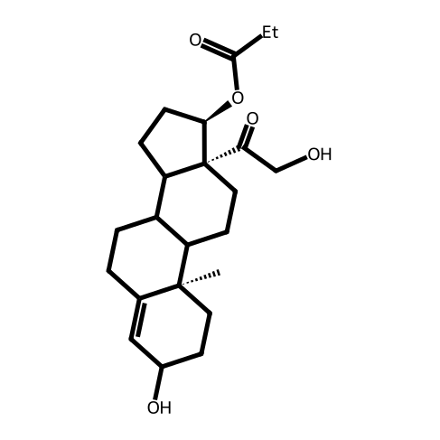 CCC(=O)O[C@@H]1CCC2C3CCC4=CC(O)CC[C@]4(C)C3CC[C@@]21C(=O)CO